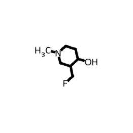 CN1CCC(O)C(CF)C1